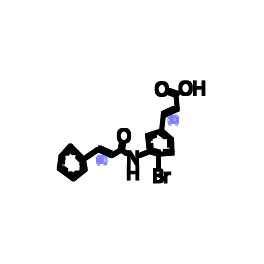 O=C(O)/C=C/c1ccc(Br)c(NC(=O)/C=C/c2ccccc2)c1